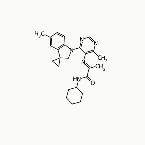 C/C(=N\c1c(C)ncnc1N1CC2(CC2)c2cc(C)ccc21)C(=O)NC1CCCCC1